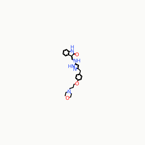 O=C1Nc2ccccc2C1=CNc1cc(Cc2ccc(OCCCN3CCOCC3)cc2)n[nH]1